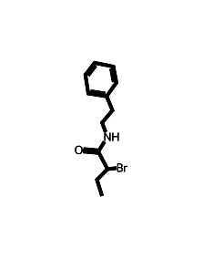 CCC(Br)C(=O)NCCc1ccccc1